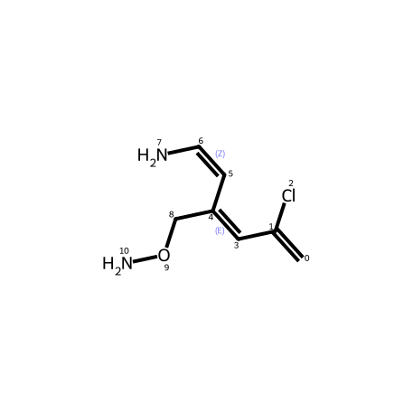 C=C(Cl)/C=C(\C=C/N)CON